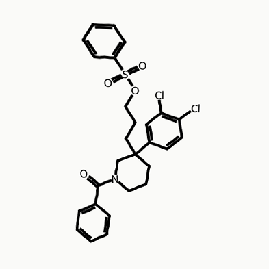 O=C(c1ccccc1)N1CCCC(CCCOS(=O)(=O)c2ccccc2)(c2ccc(Cl)c(Cl)c2)C1